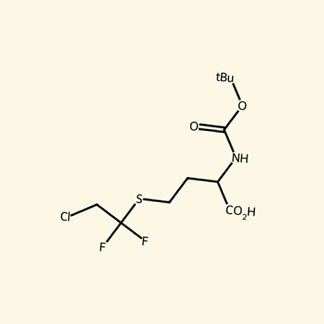 CC(C)(C)OC(=O)NC(CCSC(F)(F)CCl)C(=O)O